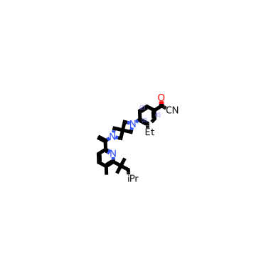 C=C(c1ccc(C)c(C(C)(C)CC(C)C)n1)N1CC2(C1)CN(C(/C=C\C(=C/C)C(=O)C#N)=C\CC)C2